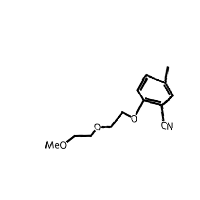 COCCOCCOc1ccc(C)cc1C#N